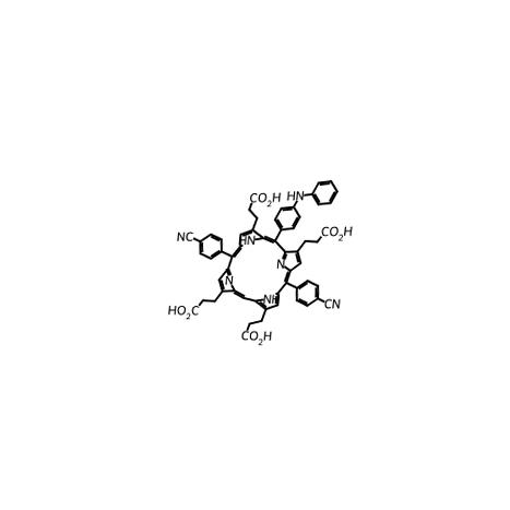 N#Cc1ccc(-c2c3nc(c(-c4ccc(Nc5ccccc5)cc4)c4[nH]c(cc4CCC(=O)O)c(-c4ccc(C#N)cc4)c4nc(cc5[nH]c2cc5CCC(=O)O)C(CCC(=O)O)=C4)C(CCC(=O)O)=C3)cc1